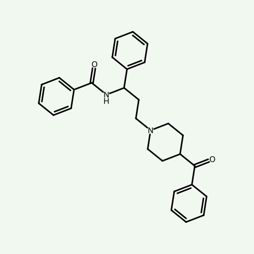 O=C(NC(CCN1CCC(C(=O)c2ccccc2)CC1)c1ccccc1)c1ccccc1